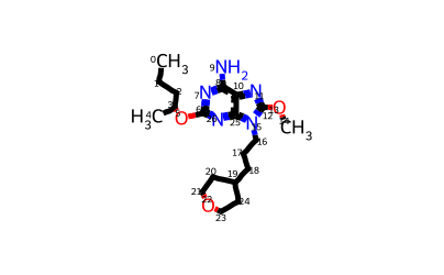 CCCC(C)Oc1nc(N)c2nc(OC)n(CCCC3CCOCC3)c2n1